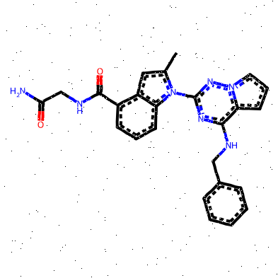 Cc1cc2c(C(=O)NCC(N)=O)cccc2n1-c1nc(NCc2ccccc2)c2cccn2n1